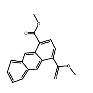 COC(=O)c1ccc(C(=O)OC)c2cc3ccccc3cc12